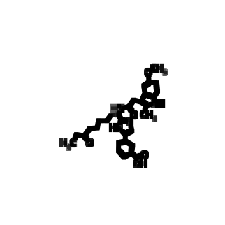 CCC(=O)CCCCC[C@H](NC(=O)Cc1c(C)[nH]c2ccc(OC)cc12)c1ncc(-c2cccc(C(=O)O)c2)[nH]1